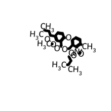 COc1c(C(=O)CC(C)C)ccc2c1C(=O)OC(OCCC(C)C)c1c(ccc(C)c1[N+](=O)[O-])O2